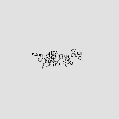 CC(C)(C)OC(=O)N(C(=O)OC(C)(C)C)c1cc(F)cc(F)c1NC(=O)c1cc(NC(=O)[C@H]2[C@H](c3cc(Cl)c(Cl)c(Cl)c3)C2(Cl)Cl)ccc1Cl